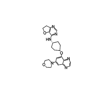 c1nc2c(c(N[C@H]3CC[C@@H](Oc4cc(N5CCOCC5)cc5nccnc45)CC3)n1)OCC2